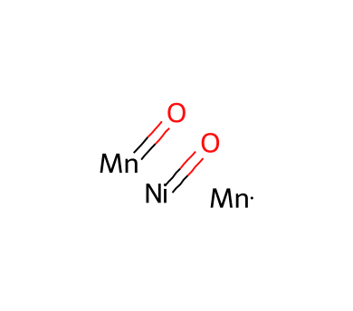 [Mn].[O]=[Mn].[O]=[Ni]